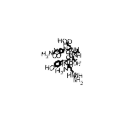 CC(C)[C@@H](NC(=O)[C@H](NC(=O)[C@@H](Cc1ccc(O)cc1)NC(=O)[C@H](N)CCCNC(=N)N)[C@@H](C)O)C(=O)N[C@H](CCC(=O)O)C(=O)N[C@@H]1CC(=O)N([C@H](C)C(N)=O)C1